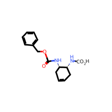 O=C(O)N[C@@H]1CC=CC[C@@H]1NC(=O)OCc1ccccc1